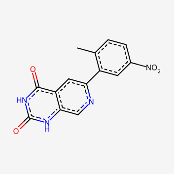 Cc1ccc([N+](=O)[O-])cc1-c1cc2c(=O)[nH]c(=O)[nH]c2cn1